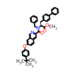 COC(=O)[C@H](Cc1ccc(-c2ccccc2)cc1)N(Cc1ccccc1)C(=O)c1cc2ccc(Oc3ccc(C(C)(C)C)cc3)cc2cn1